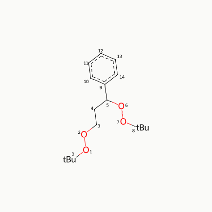 CC(C)(C)OOCCC(OOC(C)(C)C)c1ccccc1